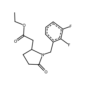 CCOC(=O)CC1CCC(=O)N1Cc1cccc(F)c1F